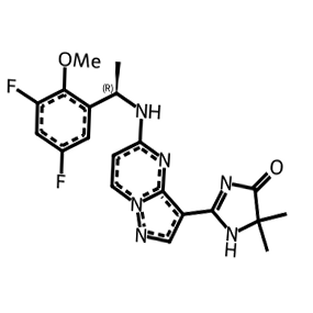 COc1c(F)cc(F)cc1[C@@H](C)Nc1ccn2ncc(C3=NC(=O)C(C)(C)N3)c2n1